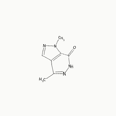 Cc1n[nH]c(=O)c2c1cnn2C